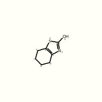 Oc1nc2c(s1)CCCC2